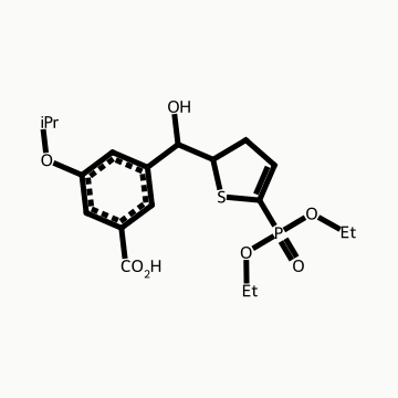 CCOP(=O)(OCC)C1=CCC(C(O)c2cc(OC(C)C)cc(C(=O)O)c2)S1